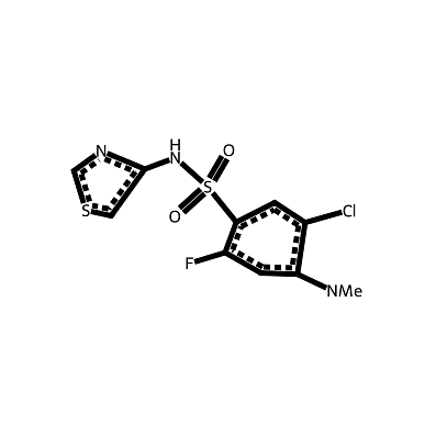 CNc1cc(F)c(S(=O)(=O)Nc2cscn2)cc1Cl